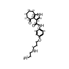 CC(C)CCNCCCOc1ccc(NC(=O)c2c[nH]c3c2C(=O)CCCC3)cc1